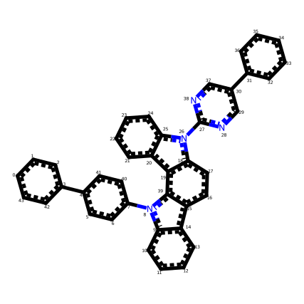 c1ccc(-c2ccc(-n3c4ccccc4c4ccc5c(c6ccccc6n5-c5ncc(-c6ccccc6)cn5)c43)cc2)cc1